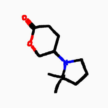 C[Si]1(C)CCCN1C1CCC(=O)OC1